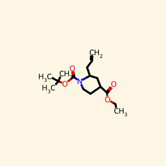 C=CCC1CC(C(=O)OCC)CCN1C(=O)OC(C)(C)C